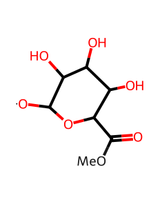 COC(=O)C1OC([O])C(O)C(O)C1O